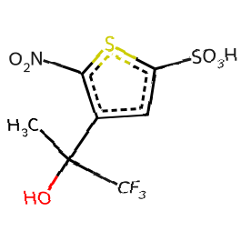 CC(O)(c1cc(S(=O)(=O)O)sc1[N+](=O)[O-])C(F)(F)F